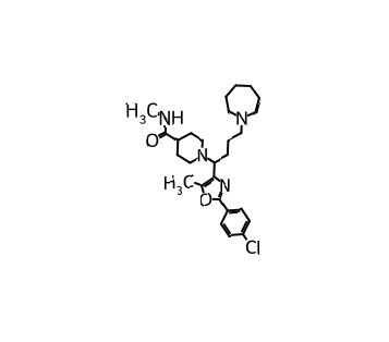 CNC(=O)C1CCN(C(CCCN2CCCCCC2)c2nc(-c3ccc(Cl)cc3)oc2C)CC1